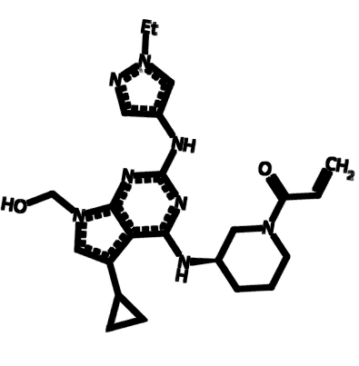 C=CC(=O)N1CCC[C@@H](Nc2nc(Nc3cnn(CC)c3)nc3c2c(C2CC2)cn3CO)C1